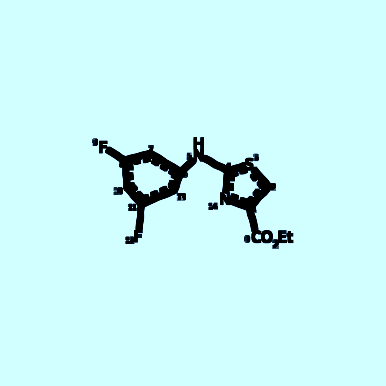 CCOC(=O)c1csc(Nc2cc(F)cc(F)c2)n1